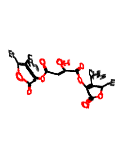 CCC1OC(=O)C(OC(=O)CC(O)C(=O)OC2=C(C)C(CC)OC2=O)=C1C